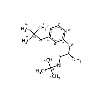 C[C@@H](CNC(C)(C)C)Oc1cc(CC(C)(C)C)ccn1